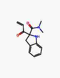 C=CC(=O)C1(C(=O)N(C)C)Cc2ccccc2N1